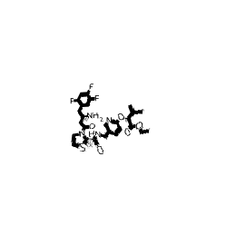 CCOC(=O)[C@H](Oc1ccc(CNC(=O)[C@@H]2SCCN2C(=O)C[C@H](N)Cc2cc(F)c(F)cc2F)cn1)C(C)C